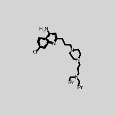 CC(C)CN(CCCN1CCN(CCCc2cc(N)c3ccc(Cl)cc3n2)CC1)CC(C)C